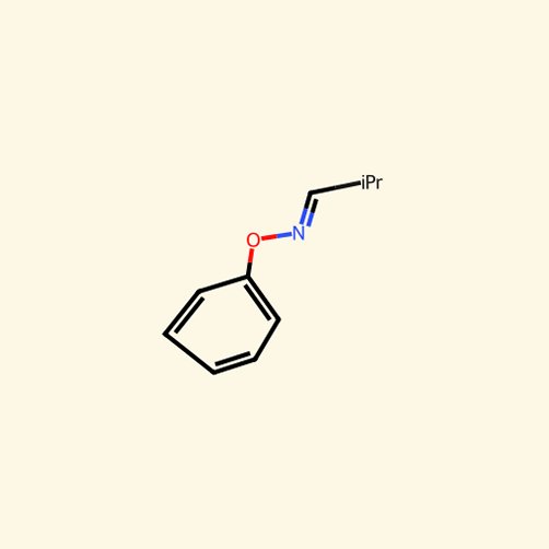 CC(C)/C=N/Oc1ccccc1